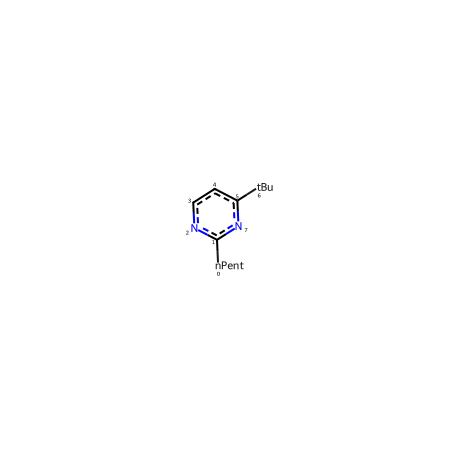 CCCCCc1nccc(C(C)(C)C)n1